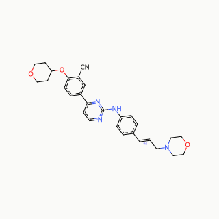 N#Cc1cc(-c2ccnc(Nc3ccc(/C=C/CN4CCOCC4)cc3)n2)ccc1OC1CCOCC1